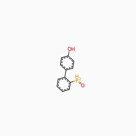 O=[PH2]c1ccccc1-c1ccc(O)cc1